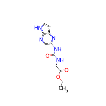 CCOC(=O)CNC(=O)Nc1cnc2[nH]ccc2n1